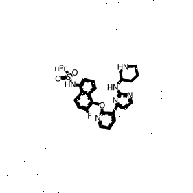 CCCS(=O)(=O)Nc1cccc2c(Oc3ncccc3-c3ccnc(NC4CCCNC4)n3)c(F)ccc12